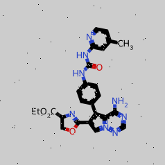 CCOC(=O)C1COC(c2cn3ncnc(N)c3c2-c2ccc(NC(=O)Nc3cc(C)ccn3)cc2)=N1